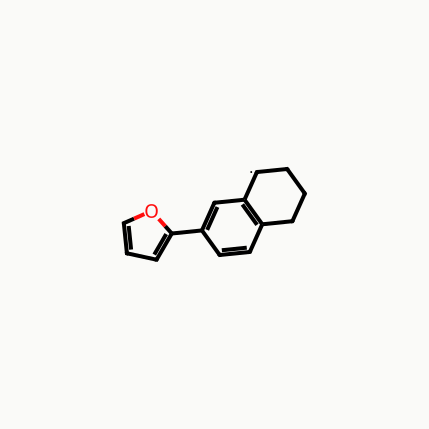 [CH]1CCCc2ccc(-c3ccco3)cc21